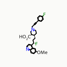 COc1ccc2nccc([C@@H](F)CC[C@@H]3CCN(CC#Cc4ccc(F)cc4)C[C@@H]3C(=O)O)c2c1